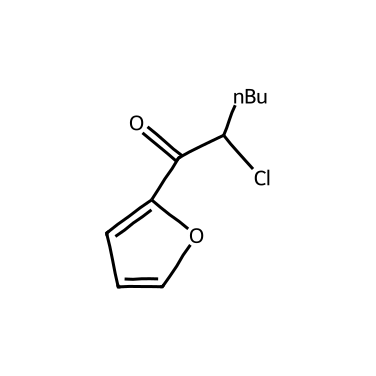 CCCCC(Cl)C(=O)c1ccco1